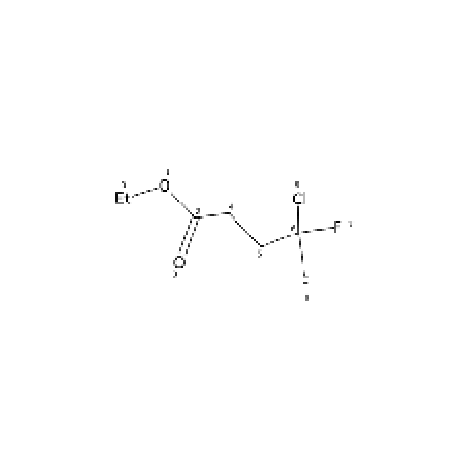 CCOC(=O)CCC(F)(F)Cl